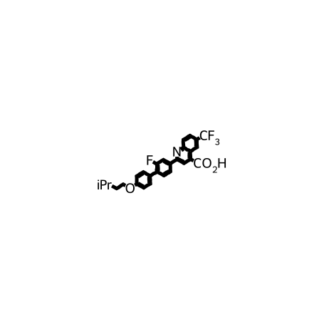 CC(C)CCOc1ccc(-c2ccc(-c3cc(C(=O)O)c4cc(C(F)(F)F)ccc4n3)cc2F)cc1